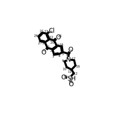 O=C1c2ccc(C(=O)N3CCC(C[SH](=O)=O)CC3)cc2C(=O)c2c(Cl)cccc21